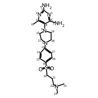 Cc1nc(N)nc(N)c1N1CCN(c2ccc(S(=O)(=O)CCCN(C)C)cc2)CC1